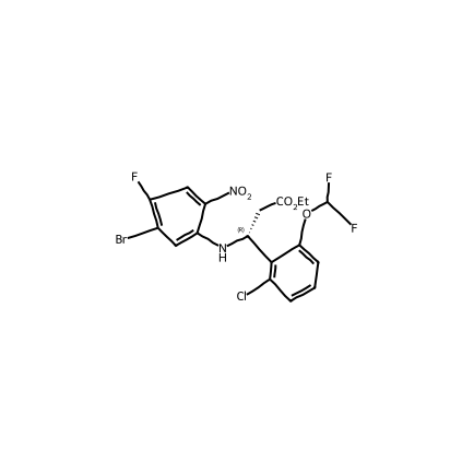 CCOC(=O)C[C@@H](Nc1cc(Br)c(F)cc1[N+](=O)[O-])c1c(Cl)cccc1OC(F)F